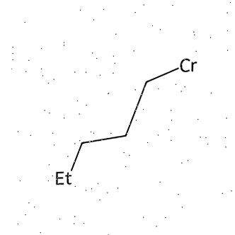 CCCC[CH2][Cr]